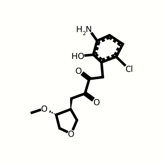 CO[C@H]1COC[C@@H]1CC(=O)C(=O)Cc1c(Cl)ccc(N)c1O